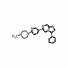 CN1CCN(c2ccc(-c3cn4c(-c5ccccc5)cnc4cn3)cn2)CC1